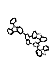 c1ccc(-c2nc(-c3cccc4oc5ccccc5c34)nc(-c3cccc4oc5ccc(-c6cccc(-c7ccc8c(c7)c7ccccc7n8-c7ccccc7)c6)cc5c34)n2)cc1